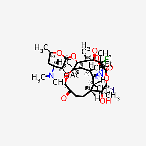 CCC(=O)/N=C1\[C@H](C)C[C@@]2(C)OCC(=O)CC[C@H]([C@H]1C)[C@](C)(O)[C@@H](I)OC(=O)[C@@](C)(F)C(=O)[C@H](C)[C@H]2O[C@@H]1O[C@H](C)C[C@H](N(C)C)[C@H]1OC(C)=O